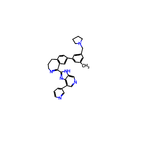 Cc1cc(CN2CCCC2)cc(-c2ccc3c(c2)C(c2nc4c(-c5cccnc5)cncc4[nH]2)=NCCC3)c1